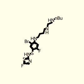 CCCCNCCNCCCCNc1cc(F)c(SNc2ncc(F)s2)cc1Br